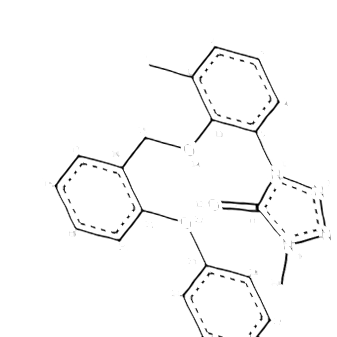 Cc1cccc(-n2nnn(C)c2=O)c1OCc1ccccc1Oc1ccccc1